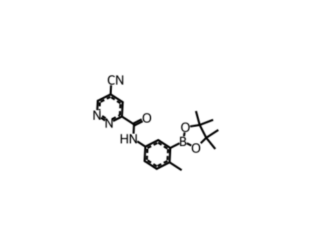 Cc1ccc(NC(=O)c2cc(C#N)cnn2)cc1B1OC(C)(C)C(C)(C)O1